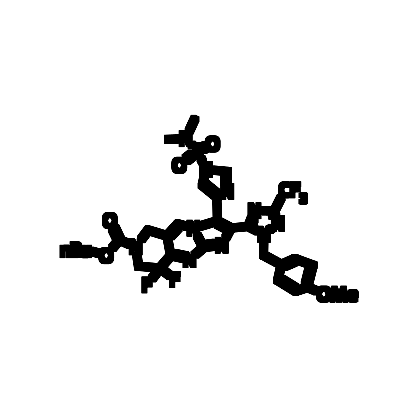 CCCCOC(=O)N1Cc2cn3c(-c4cn(S(=O)(=O)N(C)C)cn4)c(-c4nc(C(F)(F)F)nn4Cc4ccc(OC)cc4)nc3nc2C(F)(F)C1